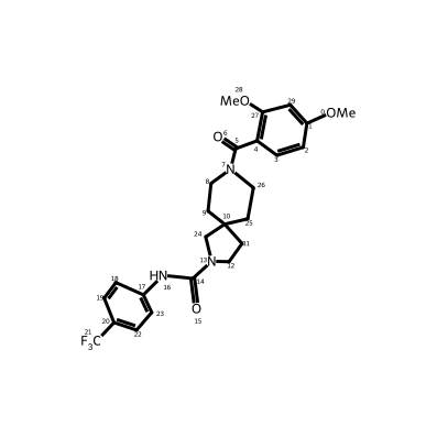 COc1ccc(C(=O)N2CCC3(CCN(C(=O)Nc4ccc(C(F)(F)F)cc4)C3)CC2)c(OC)c1